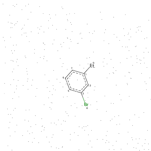 CCc1[c]c(Br)ccc1